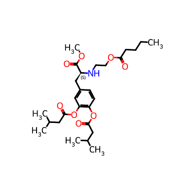 CCCCC(=O)OCCN[C@@H](Cc1ccc(OC(=O)CC(C)C)c(OC(=O)CC(C)C)c1)C(=O)OC